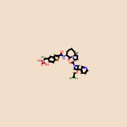 O=C(N[C@H]1CCCC[C@H]2CC[C@@H](C(=O)N3CC(OCC(F)F)(c4cccnc4)C3)N2C1=O)c1cc2cc(C(F)P(=O)(O)O)ccc2s1